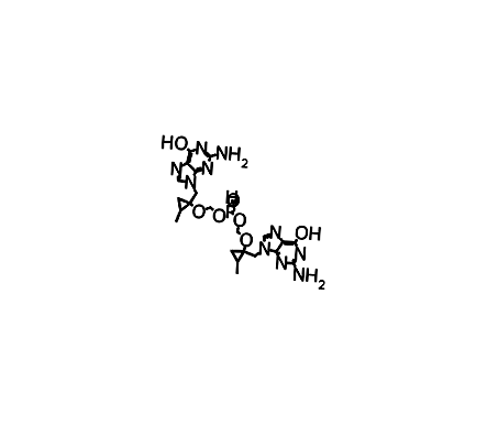 CC1CC1(Cn1cnc2c(O)nc(N)nc21)OCO[PH](=O)OCOC1(Cn2cnc3c(O)nc(N)nc32)CC1C